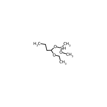 CCCC(OCC)O[SiH](C)OC